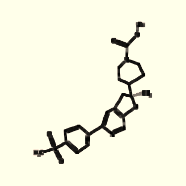 CC(C)(C)OC(=O)N1CCC([C@]2(C)Cc3cc(-c4ccc(S(C)(=O)=O)cc4)ncc3O2)CC1